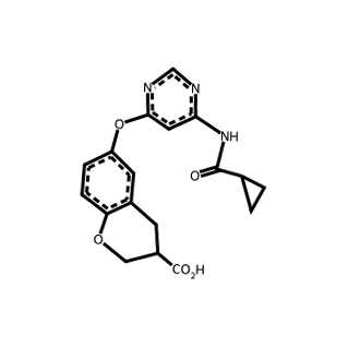 O=C(O)C1COc2ccc(Oc3cc(NC(=O)C4CC4)ncn3)cc2C1